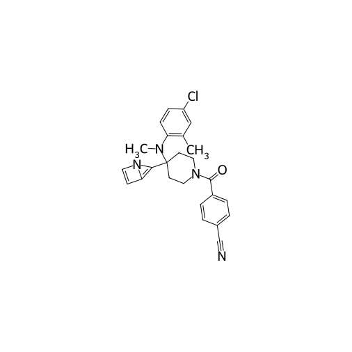 Cc1cc(Cl)ccc1N(C)C1(c2c3ccn2-3)CCN(C(=O)c2ccc(C#N)cc2)CC1